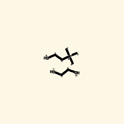 C[N+](C)(C)CCO.OCCO